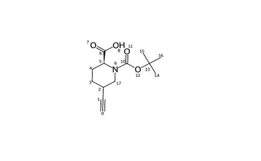 C#CC1CC[C@@H](C(=O)O)N(C(=O)OC(C)(C)C)C1